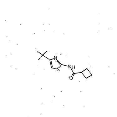 CC(C)(C)c1csc(NC(=O)C2CCC2)n1